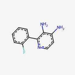 Nc1ccnc(-c2ccccc2F)c1N